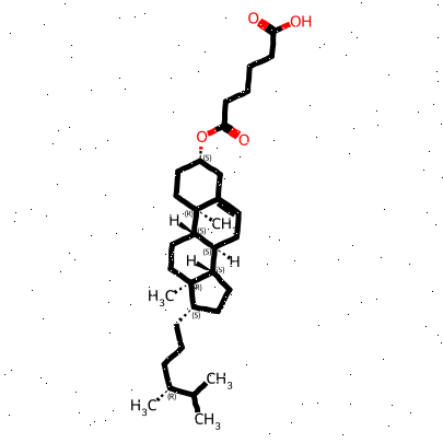 CC(C)[C@H](C)CCC[C@H]1CC[C@H]2[C@@H]3CC=C4C[C@@H](OC(=O)CCCCC(=O)O)CC[C@]4(C)[C@H]3CC[C@]12C